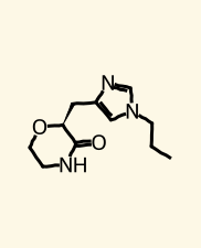 CCCn1cnc(C[C@@H]2OCCNC2=O)c1